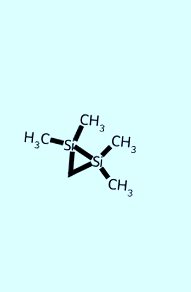 C[Si]1(C)C[Si]1(C)C